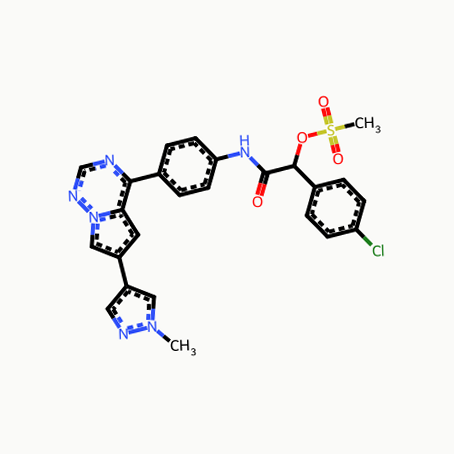 Cn1cc(-c2cc3c(-c4ccc(NC(=O)C(OS(C)(=O)=O)c5ccc(Cl)cc5)cc4)ncnn3c2)cn1